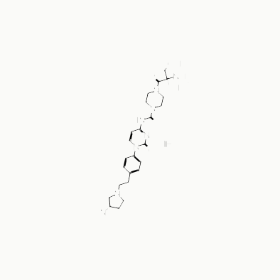 C[C@](N)(CO)C(=O)N1CCN(C(=O)Nc2ccn(-c3ccc(CCN4CC[C@@H](N)C4)cc3)c(=O)n2)CC1.Cl